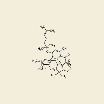 CC(C)=CCC[C@]1(C)C=Cc2c(O)c3c(c(CC=C(C)C)c2O1)OC12C(=CC4CC1C(C)(C)OC2(C/C=C(\C)C(=O)O)C4=O)C3=O